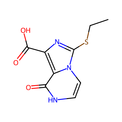 CCSc1nc(C(=O)O)c2c(=O)[nH]ccn12